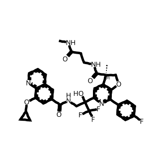 CNC(=O)CCNC(=O)[C@@]1(C)COc2c1cc(C(O)(CNC(=O)c1cc(OC3CC3)c3ncccc3c1)C(F)(F)F)nc2-c1ccc(F)cc1